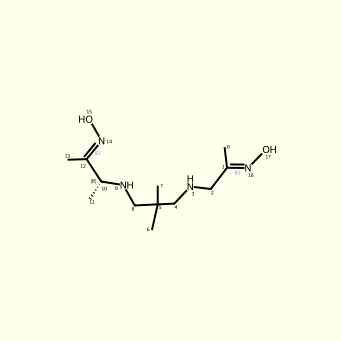 C/C(CNCC(C)(C)CN[C@H](C)/C(C)=N/O)=N\O